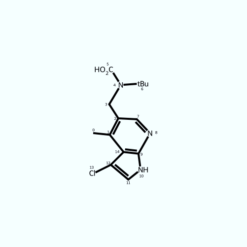 Cc1c(CN(C(=O)O)C(C)(C)C)cnc2[nH]cc(Cl)c12